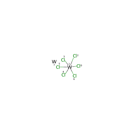 [Cl][W]([Cl])([Cl])([Cl])([Cl])[Cl].[W]